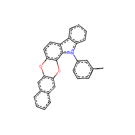 Cc1cccc(-n2c3ccccc3c3ccc4c(c32)Oc2cc3ccccc3cc2O4)c1